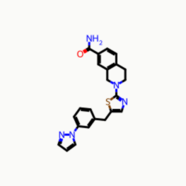 NC(=O)c1ccc2c(c1)CN(c1ncc(Cc3cccc(-n4cccn4)c3)s1)CC2